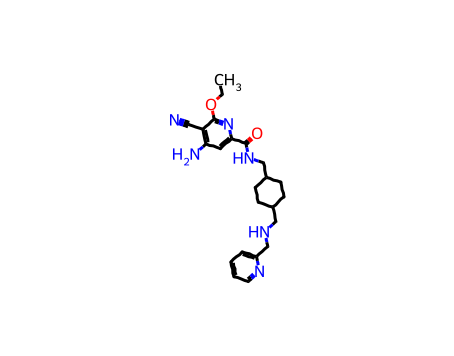 CCOc1nc(C(=O)NCC2CCC(CNCc3ccccn3)CC2)cc(N)c1C#N